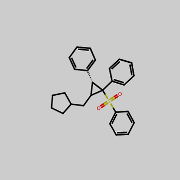 O=S(=O)(c1ccccc1)C1(c2ccccc2)C(CC2CCCC2)[C@@H]1c1ccccc1